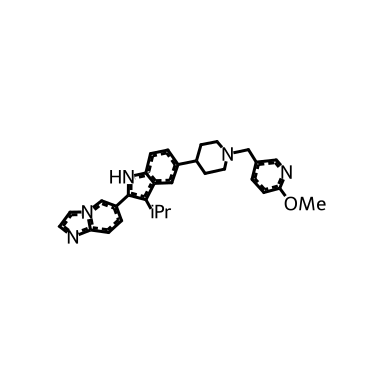 COc1ccc(CN2CCC(c3ccc4[nH]c(-c5ccc6nccn6c5)c(C(C)C)c4c3)CC2)cn1